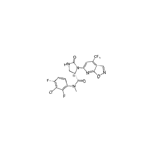 CN(C(=O)[C@@H]1CNC(=O)N1c1cc(C(F)(F)F)c2cnoc2n1)c1ccc(F)c(Cl)c1F